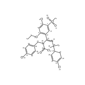 CCOc1cc(Cl)c(S(C)(=O)=O)cc1/C(=N/C(C)(C)C1C=CC(Cl)=CC1)N(Cc1ccc(Cl)cc1)C(=O)Cl